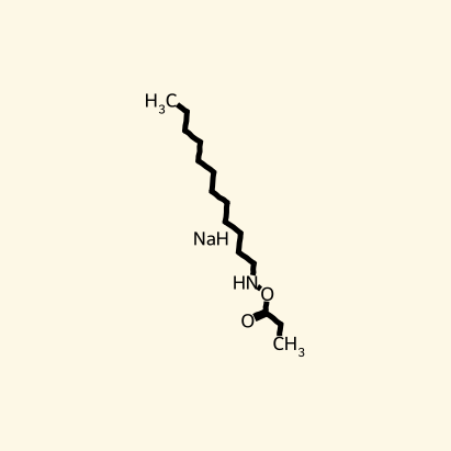 CCCCCCCCCCCCNOC(=O)CC.[NaH]